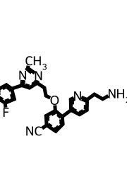 Cc1nc(CCOc2cc(C#N)ccc2-c2ccc(CCN)nc2)cc(-c2cccc(F)c2)n1